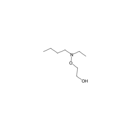 CCCCN(CC)OCCO